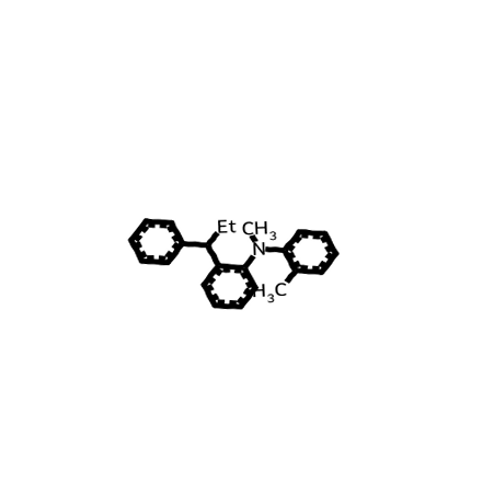 CCC(c1ccccc1)c1ccccc1N(C)c1ccccc1C